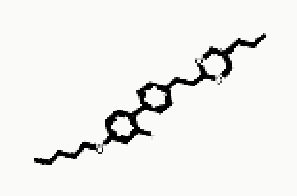 CCCCCOc1ccc(-c2ccc(CCC3OCC(CCC)CO3)cc2)c(F)c1